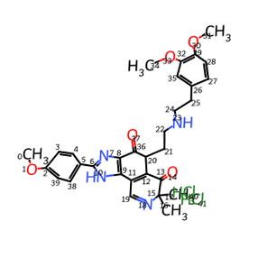 COc1ccc(-c2nc3c([nH]2)C2=C(C(=O)C(C)(C)N=C2)C(CCNCCc2ccc(OC)c(OC)c2)C3=O)cc1.Cl.Cl